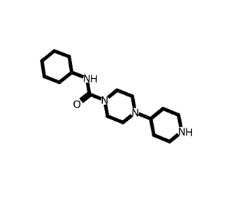 O=C(NC1CCCCC1)N1CCN(C2CCNCC2)CC1